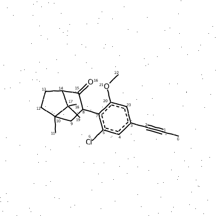 CC#Cc1cc(Cl)c(C2CC3(C)CCC(C2=O)C3(C)C)c(OC)c1